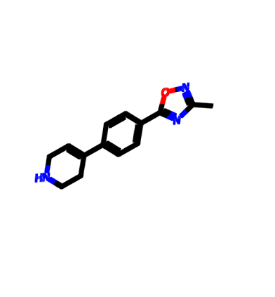 Cc1noc(-c2ccc(C3=CCNCC3)cc2)n1